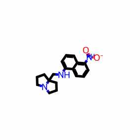 O=[N+]([O-])c1cccc2c(NCC34CCCN3CCC4)cccc12